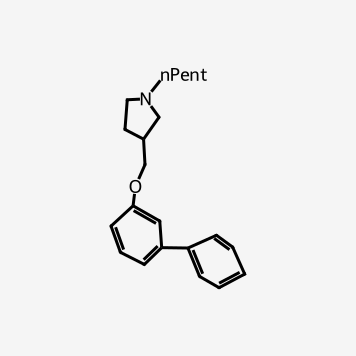 CCCCCN1CCC(COc2cccc(-c3ccccc3)c2)C1